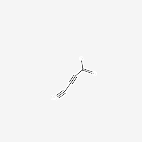 C#CC#CC([O])=O